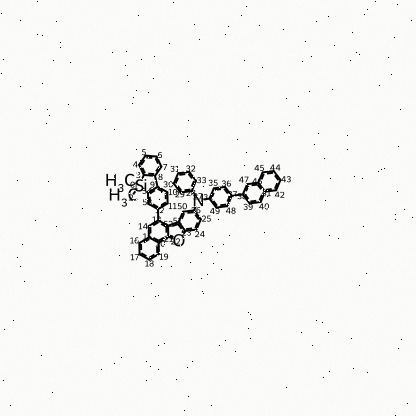 C[Si]1(C)c2ccccc2-c2ccc(-c3cc4ccccc4c4oc5ccc(N(c6ccccc6)c6ccc(-c7ccc8ccccc8c7)cc6)cc5c34)cc21